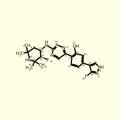 CC1(C)C[C@@H](Nc2ncc(-c3ccc(-c4c[nH]nc4F)cc3O)nn2)[C@@H](F)C(C)(C)N1